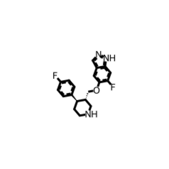 Fc1ccc([C@@H]2CCNC[C@H]2COc2cc3cn[nH]c3cc2F)cc1